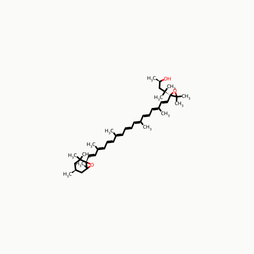 CC(/C=C/C=C(C)/C=C/[C@@]1(C(C)(C)C[C@@H](C)O)OC1(C)C)=C\C=C\C=C(C)\C=C\C=C(C)\C=C\[C@@]12O[C@]1(C)C[C@@H](C)CC2(C)C